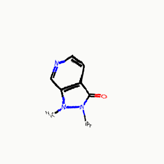 CC(C)n1c(=O)c2ccncc2n1C